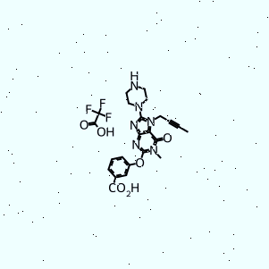 CC#CCn1c(N2CCNCC2)nc2nc(Oc3cccc(C(=O)O)c3)n(C)c(=O)c21.O=C(O)C(F)(F)F